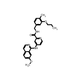 CCCOc1cc(CNC(=O)c2cc(Nc3nccc4ccc(OC)cc34)ccn2)ccc1C